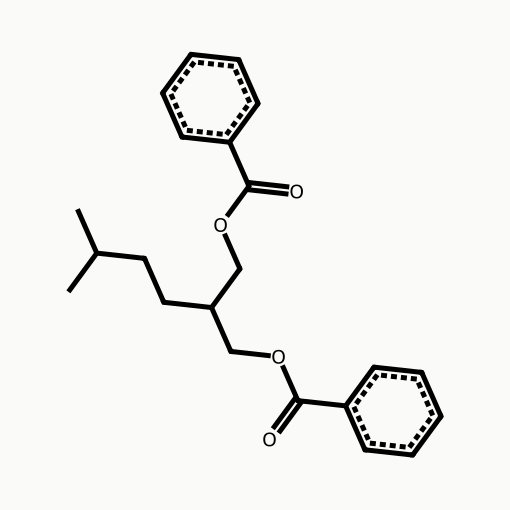 CC(C)CCC(COC(=O)c1ccccc1)COC(=O)c1ccccc1